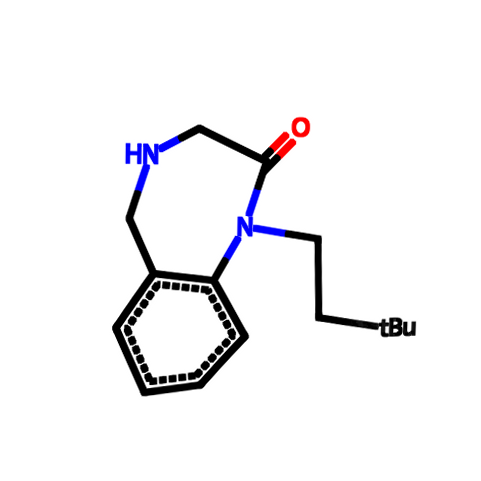 CC(C)(C)CCN1C(=O)CNCc2ccccc21